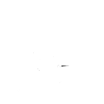 O=C(N[C@@H]1CCCc2ccccc21)[C@@H]1C=C(O)CN1C(=O)OCc1ccccc1